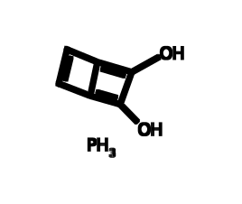 Oc1c2ccc-2c1O.P